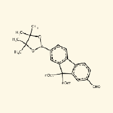 CCCCCCCCC1(CCCCCCCC)c2cc(C=O)ccc2-c2ccc(B3OC(C)(C)C(C)(C)O3)cc21